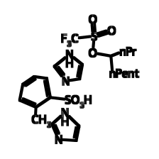 CCCCCC(CCC)OS(=O)(=O)C(F)(F)F.Cc1ccccc1S(=O)(=O)O.c1c[nH]cn1.c1c[nH]cn1